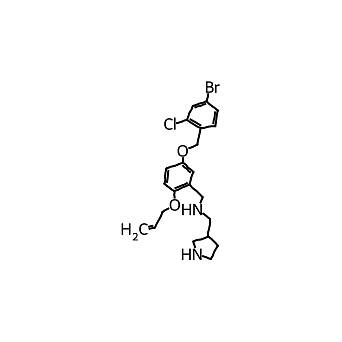 C=CCOc1ccc(OCc2ccc(Br)cc2Cl)cc1CNCC1CCNC1